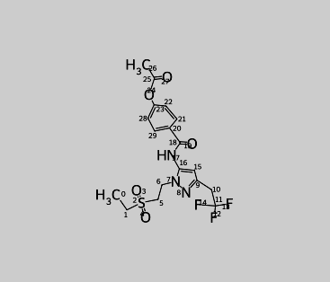 CCS(=O)(=O)CCn1nc(CC(F)(F)F)cc1NC(=O)c1ccc(OC(C)=O)cc1